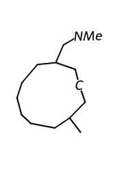 CNCC1CCCCCCC(C)CCC1